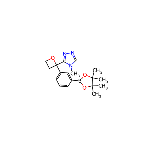 Cn1cnnc1C1(c2cccc(B3OC(C)(C)C(C)(C)O3)c2)CCO1